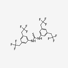 FC(F)(F)Cc1cc(CC(F)(F)F)cc(NC(=S)Nc2cc(CC(F)(F)F)cc(CC(F)(F)F)c2)c1